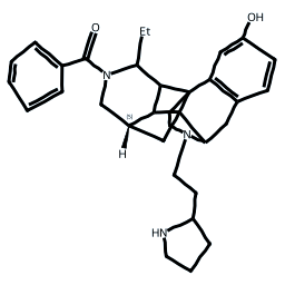 CCC1C2C3[C@@H](CN1C(=O)c1ccccc1)CC31C3Cc4ccc(O)cc4C21CCN3CCC1CCCN1